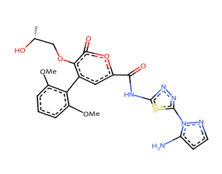 COc1cccc(OC)c1-c1cc(C(=O)Nc2nnc(-n3nccc3N)s2)oc(=O)c1OC[C@@H](C)O